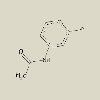 [CH2]C(=O)Nc1cccc(F)c1